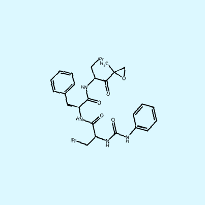 CC(C)CC(NC(=O)Nc1ccccc1)C(=O)N[C@@H](Cc1ccccc1)C(=O)NC(CC(C)C)C(=O)C1(C)CO1